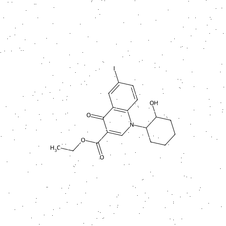 CCOC(=O)c1cn(C2CCCCC2O)c2ccc(I)cc2c1=O